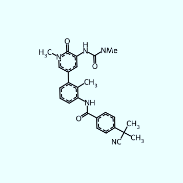 CNC(=O)Nc1cc(-c2cccc(NC(=O)c3ccc(C(C)(C)C#N)cc3)c2C)cn(C)c1=O